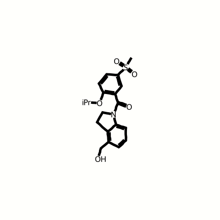 CC(C)Oc1ccc(S(C)(=O)=O)cc1C(=O)N1CCc2c(CO)cccc21